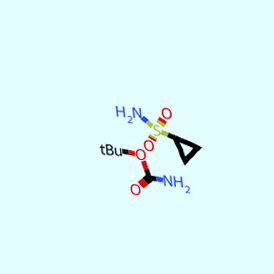 CC(C)(C)OC(N)=O.NS(=O)(=O)C1CC1